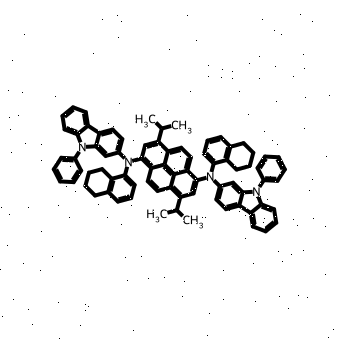 CC(C)c1cc(N(c2ccc3c4ccccc4n(-c4ccccc4)c3c2)c2cccc3c2CCCC3)c2ccc3c(C(C)C)cc(N(c4ccc5c6ccccc6n(-c6ccccc6)c5c4)c4cccc5c4CCCC5)c4ccc1c2c34